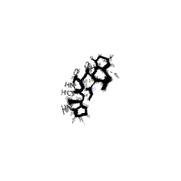 C/C=C(\C)[C@@H]1C(C)=C[C@]2(C)C[C@H](C)C[C@H](C)[C@H]2[C@@H]1C(=O)C1=CC(O)(Cc2c[nH]c3ccccc23)NC1=O